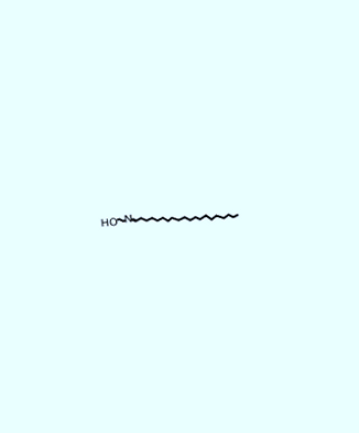 CCCCCCCCCCCCCCCCCCCC=NCCO